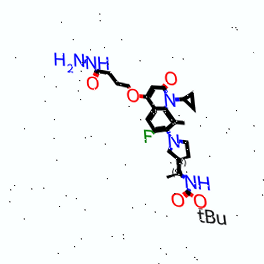 Cc1c(N2CC[C@@H]([C@H](C)NC(=O)OC(C)(C)C)C2)c(F)cc2c(OCCCC(=O)NN)cc(=O)n(C3CC3)c12